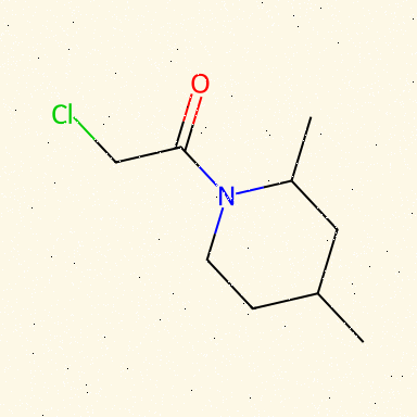 CC1CCN(C(=O)CCl)C(C)C1